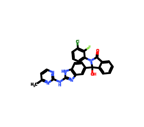 Cc1ccnc(Nc2nc3cc(C4(O)c5ccccc5C(=O)N4c4cccc(Cl)c4F)ccc3[nH]2)n1